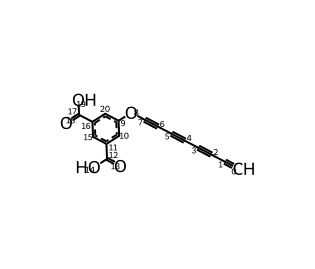 C#CC#CC#CC#COc1cc(C(=O)O)cc(C(=O)O)c1